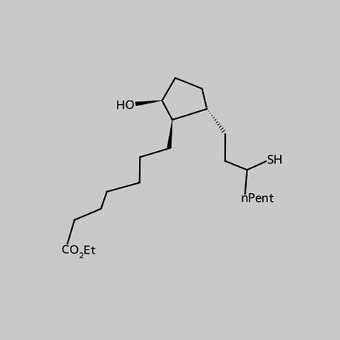 CCCCCC(S)CC[C@H]1CC[C@H](O)[C@@H]1CCCCCCC(=O)OCC